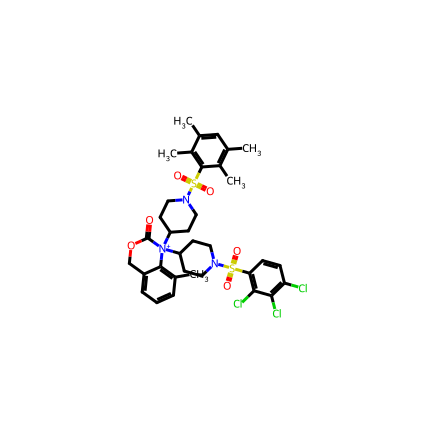 Cc1cc(C)c(C)c(S(=O)(=O)N2CCC([N+]3(C4CCN(S(=O)(=O)c5ccc(Cl)c(Cl)c5Cl)CC4)C(=O)OCc4cccc(C)c43)CC2)c1C